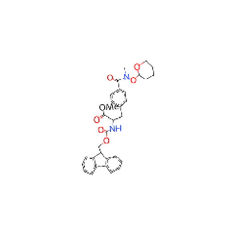 COC(=O)C(Cc1ccc(C(=O)N(C)OC2CCCCO2)cc1)NC(=O)OCC1c2ccccc2-c2ccccc21